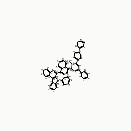 CN1C(c2ccc(-c3ccccc3)cc2)=CC(c2ccccc2)=NC1c1ccc(-c2nc3ccccc3c3c4ccccc4n(-c4ccccc4)c23)c2ccccc12